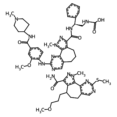 COCCCC1CCc2cnc(SC)nc2-c2c1c(C(N)=O)nn2C.COc1cc(C(=O)NC2CCN(C)CC2)ccc1Nc1ncc2c(n1)-c1c(c(C(=O)N[C@H](CNC(=O)O)c3ccccc3)nn1C)CCC2